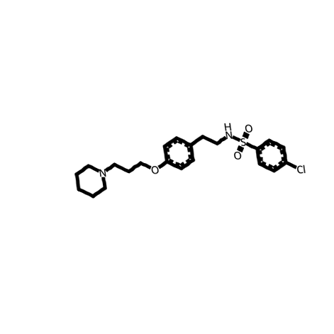 O=S(=O)(NCCc1ccc(OCCCN2CCCCC2)cc1)c1ccc(Cl)cc1